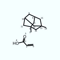 C=CC(=O)O.CC12CC3CC(C1)CC(C)(C3)C2